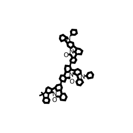 CC1(C)c2ccccc2-c2c1ccc1c3cc(-c4ccc5c(c4)c(=O)n4c6c5ccc(-c5ccc7c(c5)c(=O)n5c8cc9c%10ccccc%10n(-c%10ccccc%10)c9cc8c8cccc7c85)c6c5ccc6c(c7ccccc7n6-c6ccccc6)c54)cc4c5ccccc5c(=O)n(c21)c43